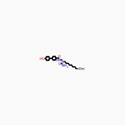 CCCCCCCCCCCCCCCCCCN(CNC(=O)c1ccc(-c2ccc(O)cc2)cc1)C(N)=O